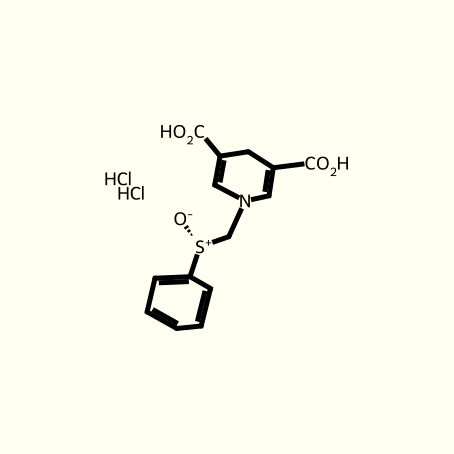 Cl.Cl.O=C(O)C1=CN(C[S@@+]([O-])c2ccccc2)C=C(C(=O)O)C1